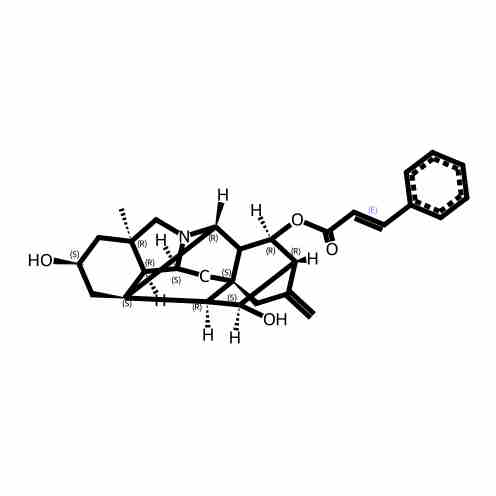 C=C1C[C@]23C[C@H]4[C@@H]5[C@@]6(C)C[C@H](O)C[C@@]57[C@@H]2[C@H](O)[C@@H]1[C@H](OC(=O)/C=C/c1ccccc1)C3[C@H]7N4C6